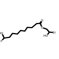 CCCCCCCCC(O)CCCCCCCCC(=O)OCC(O)CC